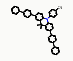 CC1(C)c2cc(-c3ccc(-c4ccccc4)cc3)ccc2N(c2ccc(C#N)cc2)c2ccc(-c3ccc(-c4ccccc4)cc3)cc21